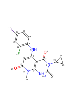 C=CN(C(=O)c1c(Nc2ccc(I)cc2F)cc(=O)n(C)c1N)C1CC1